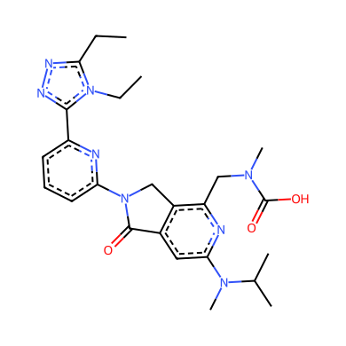 CCc1nnc(-c2cccc(N3Cc4c(cc(N(C)C(C)C)nc4CN(C)C(=O)O)C3=O)n2)n1CC